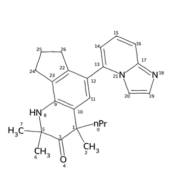 CCCC1(C)C(=O)C(C)(C)Nc2c1cc(-c1cccc3nccn13)c1c2CCC1